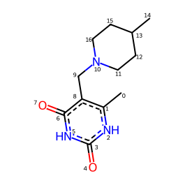 Cc1[nH]c(=O)[nH]c(=O)c1CN1CCC(C)CC1